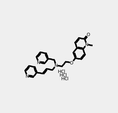 Cl.Cl.Cl.Cn1c(=O)ccc2cc(OCCN(CC=Cc3cccnc3)Cc3cccnc3)ccc21